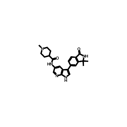 CN1CCC(C(=O)Nc2cnc3[nH]cc(-c4ccc5c(c4)C(C)(C)NC5=O)c3c2)CC1